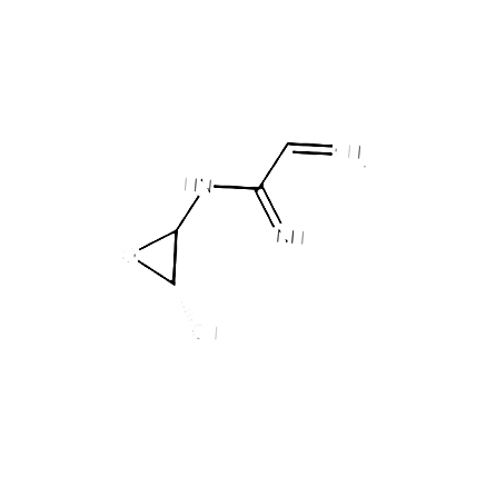 C=CC(=N)NC1O[C@H]1C